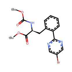 CC(C)(C)OC(=O)N[C@@H](Cc1ccccc1-c1ncc(Br)cn1)C(=O)OC(C)(C)C